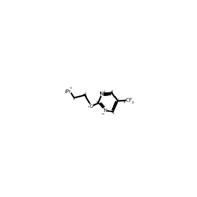 CC(C)CCOc1ncc(C(F)(F)F)cn1